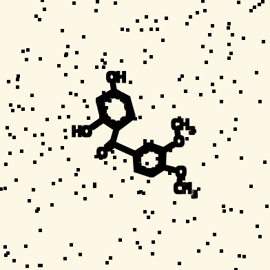 COc1ccc(C(=O)c2ccc(O)cc2O)cc1OC